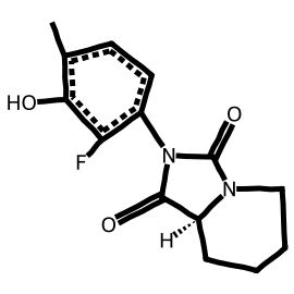 Cc1ccc(N2C(=O)[C@@H]3CCCCN3C2=O)c(F)c1O